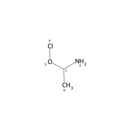 CC(N)OCl